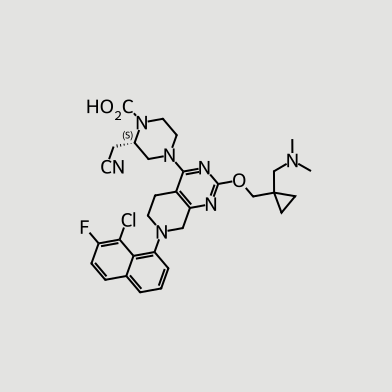 CN(C)CC1(COc2nc3c(c(N4CCN(C(=O)O)[C@@H](CC#N)C4)n2)CCN(c2cccc4ccc(F)c(Cl)c24)C3)CC1